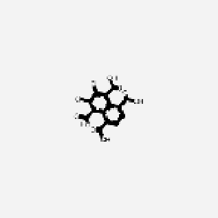 O=C(O)c1ccc(C(=O)O)c2c(C(=O)O)c(Cl)c(Cl)c(C(=O)O)c12